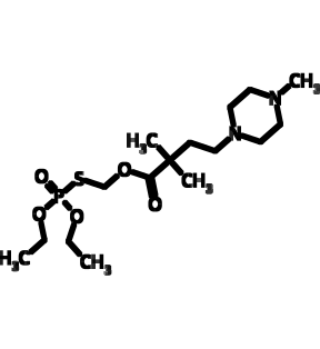 CCOP(=O)(OCC)SCOC(=O)C(C)(C)CCN1CCN(C)CC1